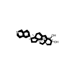 C[C@]12CC=C3C=C4[C@@H](O)[C@H](O)CC[C@]45CC[C@]3(O5)[C@@H]1CC[C@@H]2c1ccc2cnccc2c1